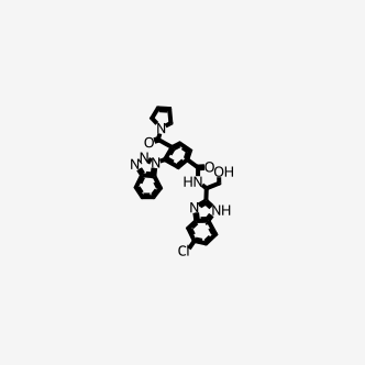 O=C(NC(CO)c1nc2cc(Cl)ccc2[nH]1)c1ccc(C(=O)N2CC=CC2)c(-n2nnc3ccccc32)c1